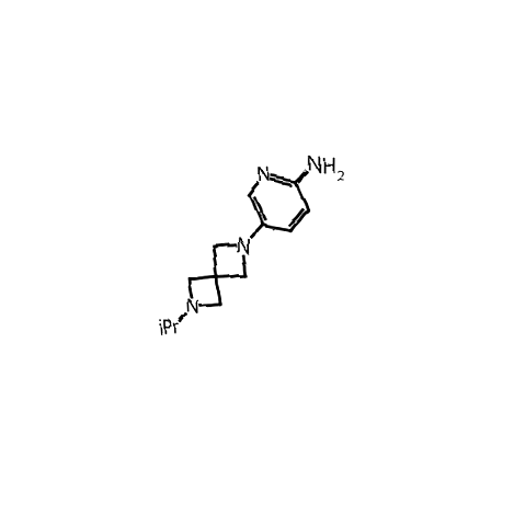 CC(C)N1CC2(CN(c3ccc(N)nc3)C2)C1